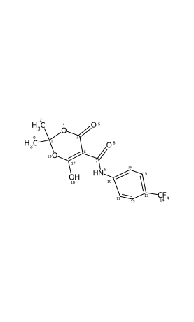 CC1(C)OC(=O)C(C(=O)Nc2ccc(C(F)(F)F)cc2)=C(O)O1